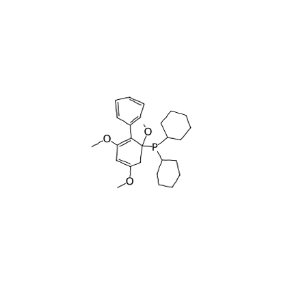 COC1=CC(OC)=C(c2ccccc2)C(OC)(P(C2CCCCC2)C2CCCCC2)C1